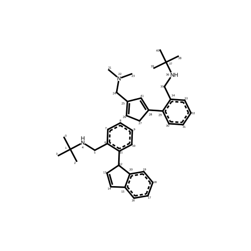 CC(C)(C)NCc1ccccc1C1C=Cc2ccccc21.CN(C)CC1=CCC(c2ccccc2CNC(C)(C)C)=C1